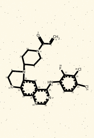 C=CC(=O)N1CCC(N2CCOc3cc4ncnc(Nc5ccc(Cl)c(Cl)c5F)c4cc32)CC1